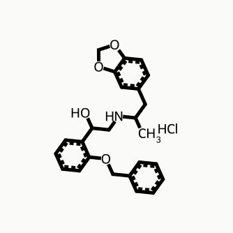 CC(Cc1ccc2c(c1)OCO2)NCC(O)c1ccccc1OCc1ccccc1.Cl